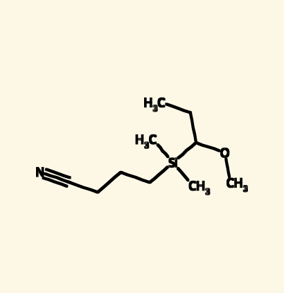 CCC(OC)[Si](C)(C)CCCC#N